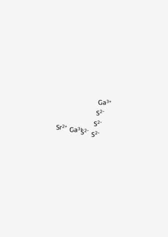 [Ga+3].[Ga+3].[S-2].[S-2].[S-2].[S-2].[Sr+2]